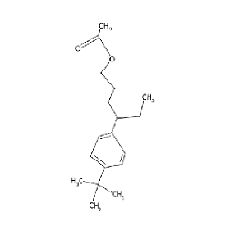 CCC(CCCOC(C)=O)c1ccc(C(C)(C)C)cc1